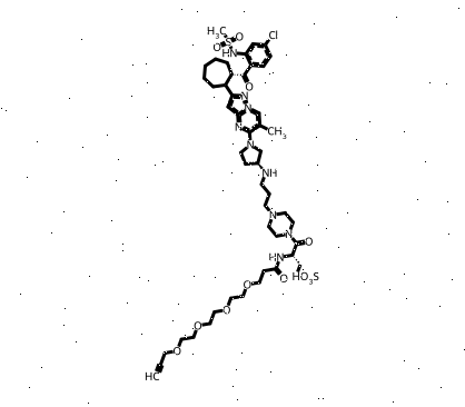 C#CCOCCOCCOCCOCCC(=O)N[C@@H](CS(=O)(=O)O)C(=O)N1CCN(CCCN[C@H]2CCN(c3nc4cc(C5CCCCC[C@@H]5C(=O)c5ccc(Cl)cc5NS(C)(=O)=O)nn4cc3C)C2)CC1